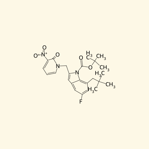 CC(C)(C)Cc1cc(F)cc2cc(Cn3cccc([N+](=O)[O-])c3=O)n(C(=O)OC(C)(C)C)c12